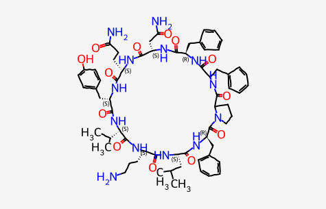 CC(C)C[C@@H]1NC(=O)[C@H](CCCN)NC(=O)[C@H](C(C)C)NC(=O)[C@H](Cc2ccc(O)cc2)NC(=O)[C@H](CCC(N)=O)NC(=O)[C@H](CC(N)=O)NC(=O)[C@@H](Cc2ccccc2)NC(=O)C(Cc2ccccc2)NC(=O)C2CCCN2C(=O)[C@@H](Cc2ccccc2)NC1=O